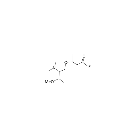 COC(C)C(COC(C)CC(=O)C(C)C)N(C)C